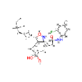 CCC(C)(C)C[C@H]1C[C@H](c2onc([C@@H](CCC(=O)O)CC(=O)Nc3ccc(C)cc3F)c2C2CC2)C1